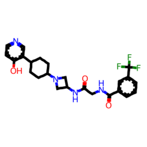 O=C(CNC(=O)c1cccc(C(F)(F)F)c1)NC1CN(C2CCC(c3cnccc3O)CC2)C1